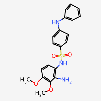 COc1ccc(NS(=O)(=O)c2ccc(Nc3ccccc3)cc2)c(N)c1OC